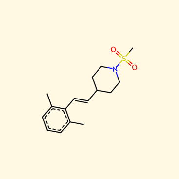 Cc1cccc(C)c1/C=C/C1CCN(S(C)(=O)=O)CC1